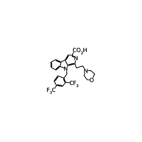 O=C(O)c1cc2c3ccccc3n(Cc3ccc(C(F)(F)F)cc3C(F)(F)F)c2c(CCN2CCOCC2)n1